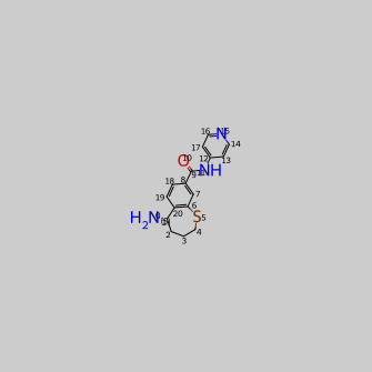 N[C@H]1CCCSc2cc(C(=O)Nc3ccncc3)ccc21